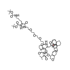 CC(C)[C@H](NC(=O)[C@@H]1CCCN1C(=O)[C@H](CC(=O)O)NC(=O)CCOCCOCCOCCNC(=O)[C@H](CCCCNC(=O)OC(C)(C)C)NC(=O)OC(C)(C)C)C(=O)OC1COCC2=C1C=C1c3nc4cccc5c4c(c3CN1C2)CCC5